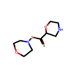 S=C(SN1CCOCC1)C1CNCCO1